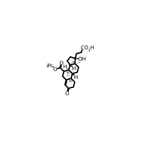 CC(C)OC(=O)C1CC2=CC(=O)CC[C@]2(C)[C@H]2CC[C@@]3(C)[C@@H](CC[C@]3(O)CCC(=O)O)[C@H]12